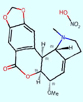 CO[C@H]1C=C2CCN(C)[C@H]2[C@@H]2c3cc4c(cc3C(=O)O[C@@H]21)OCO4.O=[N+]([O-])O